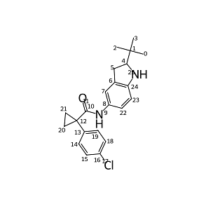 CC(C)(C)C1Cc2cc(NC(=O)C3(c4ccc(Cl)cc4)CC3)ccc2N1